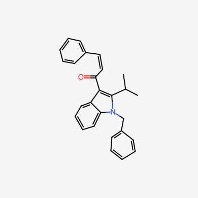 CC(C)c1c(C(=O)/C=C\c2ccccc2)c2ccccc2n1Cc1ccccc1